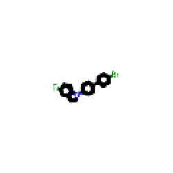 Fc1ccc2c(ccn2-c2ccc(-c3ccc(Br)cc3)cc2)c1